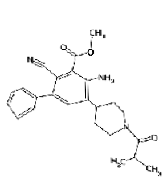 COC(=O)c1c(N)c(C2CCN(C(=O)C(C)C)CC2)cc(-c2ccccc2)c1C#N